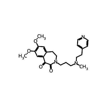 COc1cc2c(cc1OC)C(=O)C(=O)N(CCCN(C)CCc1ccncc1)CC2